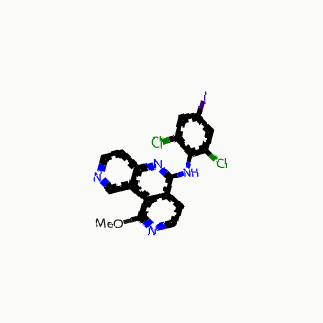 COc1nccc2c(Nc3c(Cl)cc(I)cc3Cl)nc3ccncc3c12